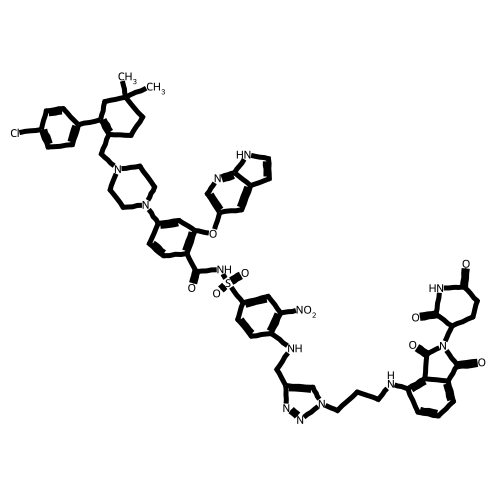 CC1(C)CCC(CN2CCN(c3ccc(C(=O)NS(=O)(=O)c4ccc(NCc5cn(CCCNc6cccc7c6C(=O)N(C6CCC(=O)NC6=O)C7=O)nn5)c([N+](=O)[O-])c4)c(Oc4cnc5[nH]ccc5c4)c3)CC2)=C(c2ccc(Cl)cc2)C1